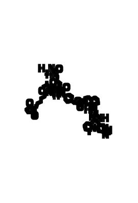 Cc1cccc(-c2nc(CNc3cccc4c3CN(C(=O)OCc3ccc(NC(=O)C(CCCNC(N)=O)NC(=O)C(NC(=O)CCCCCN5C(=O)C=CC5=O)C(C)C)cc3)CC4)[nH]c2-c2ccc3ncnn3c2)n1